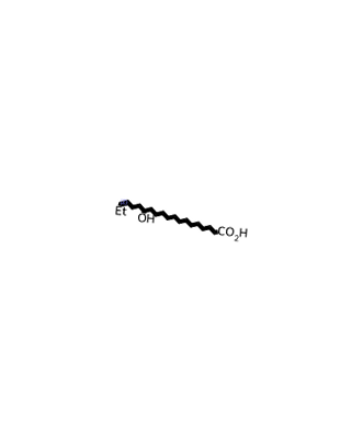 CC/C=C\CCC(O)CCCCCCCCCCCCC(=O)O